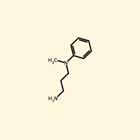 CN(CCCN)c1ccccc1